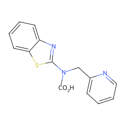 O=C(O)N(Cc1ccccn1)c1nc2ccccc2s1